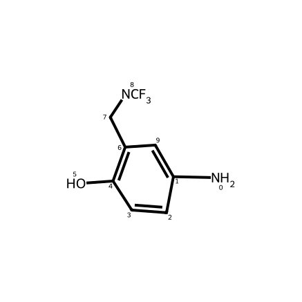 Nc1ccc(O)c(CNC(F)(F)F)c1